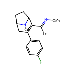 CCC(=NOC)C1=C(c2ccc(F)cc2)CC2CCC1N2C